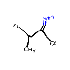 [CH2]C(CC)C(=N)CC